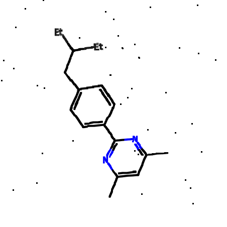 CCC(CC)Cc1ccc(-c2nc(C)cc(C)n2)cc1